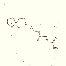 COC(=O)/C=C/C(=O)OCCN1CCC2(CC1)OCCO2